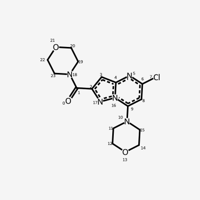 O=C(c1cc2nc(Cl)cc(N3CCOCC3)n2n1)N1CCOCC1